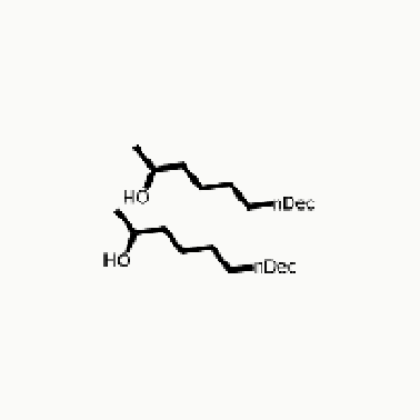 CCCCCCCCCCCCCCC(C)O.CCCCCCCCCCCCCCC(C)O